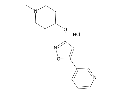 CN1CCC(Oc2cc(-c3cccnc3)on2)CC1.Cl